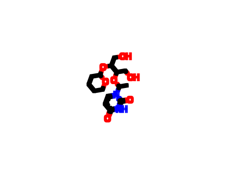 CC(OC(CO)C(CO)OC1CCCCO1)n1ccc(=O)[nH]c1=O